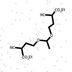 CCOC(=O)C(C#N)CCOC(C)OCCC(C#N)C(=O)OCC